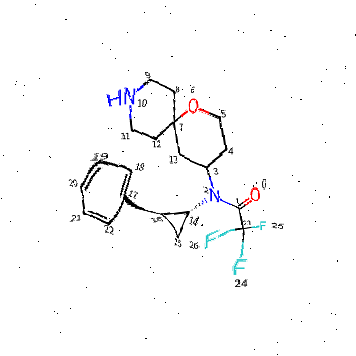 O=C(N(C1CCOC2(CCNCC2)C1)[C@@H]1C[C@H]1c1ccccc1)C(F)(F)F